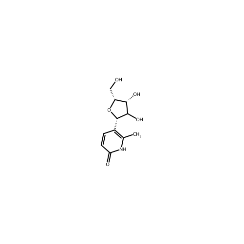 Cc1[nH]c(=O)ccc1[C@@H]1O[C@H](CO)[C@H](O)C1O